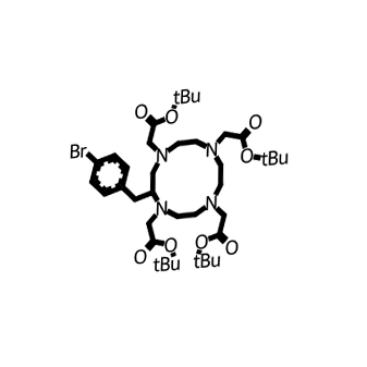 CC(C)(C)OC(=O)CN1CCN(CC(=O)OC(C)(C)C)CCN(CC(=O)OC(C)(C)C)C(Cc2ccc(Br)cc2)CN(CC(=O)OC(C)(C)C)CC1